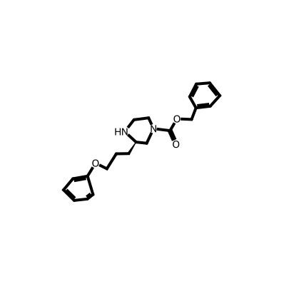 O=C(OCc1ccccc1)N1CCN[C@H](CCCOc2ccccc2)C1